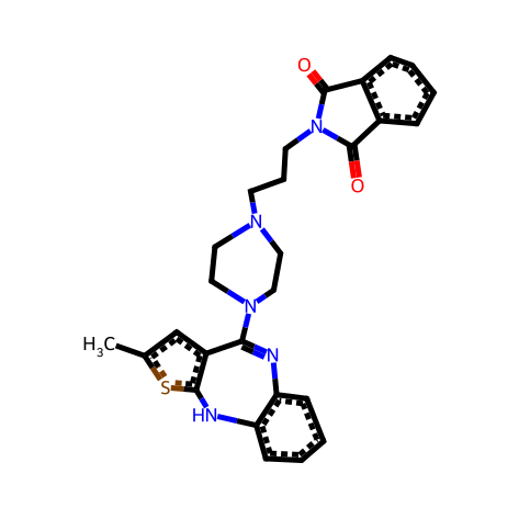 Cc1cc2c(s1)Nc1ccccc1N=C2N1CCN(CCCN2C(=O)c3ccccc3C2=O)CC1